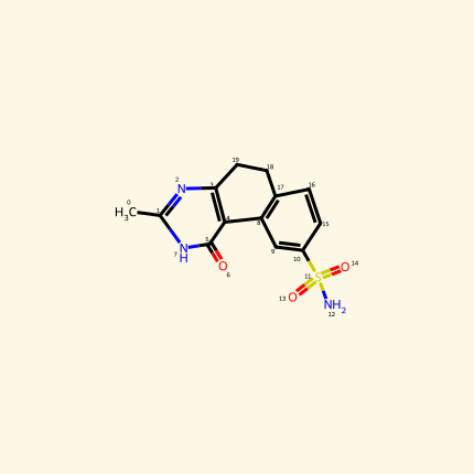 Cc1nc2c(c(=O)[nH]1)-c1cc(S(N)(=O)=O)ccc1CC2